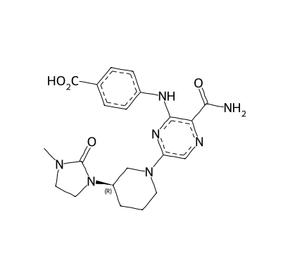 CN1CCN([C@@H]2CCCN(c3cnc(C(N)=O)c(Nc4ccc(C(=O)O)cc4)n3)C2)C1=O